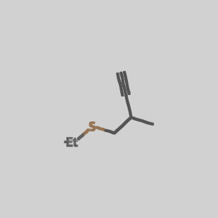 C#CC(C)CS[CH]C